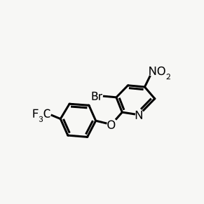 O=[N+]([O-])c1cnc(Oc2ccc(C(F)(F)F)cc2)c(Br)c1